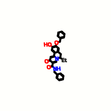 CCC1Cc2cc(OCc3ccccc3)c(O)cc2-c2cc(=O)c(C(=O)NCc3ccccc3)cn21